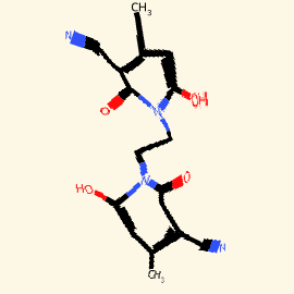 Cc1cc(O)n(CCn2c(O)cc(C)c(C#N)c2=O)c(=O)c1C#N